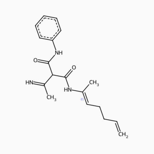 C=CCC/C=C(\C)NC(=O)C(C(C)=N)C(=O)Nc1ccccc1